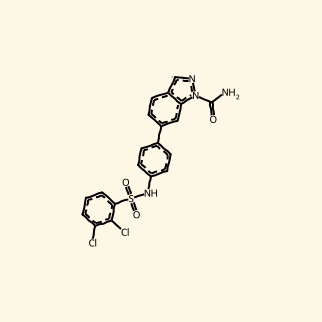 NC(=O)n1n[c]c2ccc(-c3ccc(NS(=O)(=O)c4cccc(Cl)c4Cl)cc3)cc21